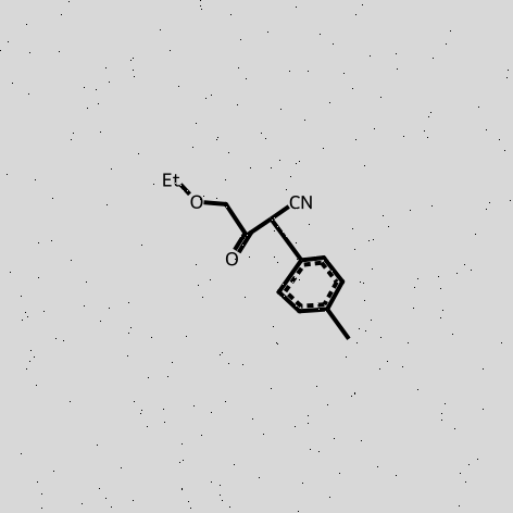 CCOCC(=O)C(C#N)c1ccc(C)cc1